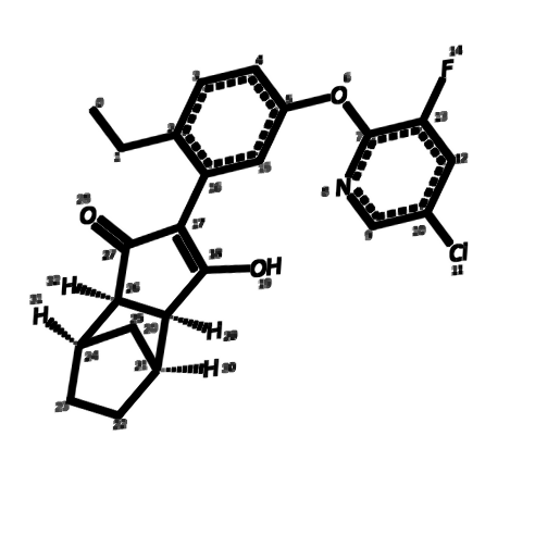 CCc1ccc(Oc2ncc(Cl)cc2F)cc1C1=C(O)[C@H]2[C@H]3CC[C@H](C3)[C@H]2C1=O